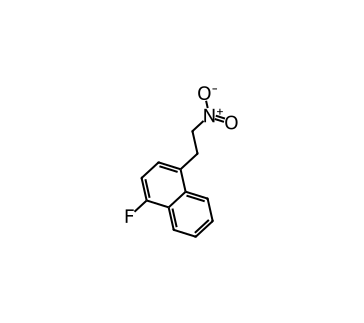 O=[N+]([O-])CCc1ccc(F)c2ccccc12